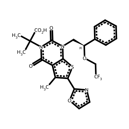 Cc1c(-c2ncco2)sc2c1c(=O)n(C(C)(C)C(=O)O)c(=O)n2C[C@H](OCC(F)(F)F)c1ccccc1